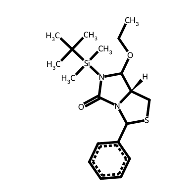 CCOC1[C@@H]2CSC(c3ccccc3)N2C(=O)N1[Si](C)(C)C(C)(C)C